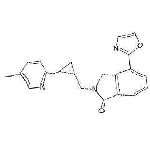 Cc1ccc(C2CC2CN2Cc3c(cccc3-c3ncco3)C2=O)nc1